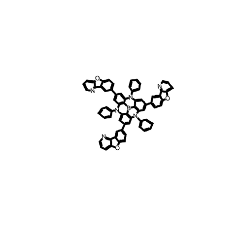 c1ccc(N2c3cc(-c4ccc5oc6cccnc6c5c4)cc4c3B3c5c2cc(-c2ccc6oc7cccnc7c6c2)cc5N(c2ccccc2)c2cc(-c5ccc6oc7cccnc7c6c5)cc(c23)N4c2ccccc2)cc1